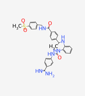 CC(Nc1ccccc1NC(=O)Nc1ccc(C(=N)N)cc1)c1ccc(C(=O)NCc2ccc(S(C)(=O)=O)cc2)cc1